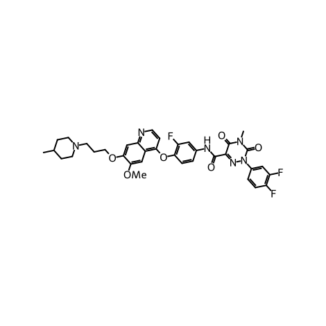 COc1cc2c(Oc3ccc(NC(=O)c4nn(-c5ccc(F)c(F)c5)c(=O)n(C)c4=O)cc3F)ccnc2cc1OCCCN1CCC(C)CC1